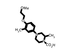 COCCOc1ccc(N2CCN(C(=O)O)C(C)C2)cc1C